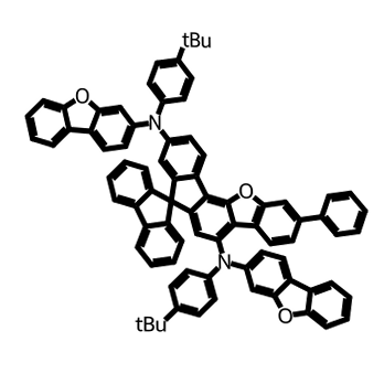 CC(C)(C)c1ccc(N(c2ccc3c(c2)C2(c4ccccc4-c4ccccc42)c2cc(N(c4ccc(C(C)(C)C)cc4)c4ccc5c(c4)oc4ccccc45)c4c(oc5cc(-c6ccccc6)ccc54)c2-3)c2ccc3c(c2)oc2ccccc23)cc1